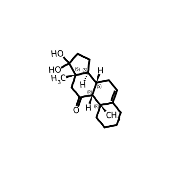 C[C@]12CCCCC1=CC[C@@H]1[C@H]2C(=O)C[C@@]2(C)[C@H]1CCC2(O)O